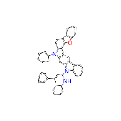 C1=C(c2ccccc2)c2ccccc2NC1n1c2ccccc2c2cc3c4c5oc6ccccc6c5ccc4n(-c4ccccc4)c3cc21